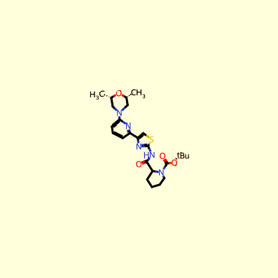 C[C@@H]1CN(c2cccc(-c3csc(NC(=O)C4CCCCN4C(=O)OC(C)(C)C)n3)n2)C[C@H](C)O1